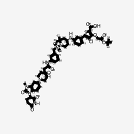 Cn1c(=O)n(C2CCC(=O)NC2=O)c2ccc(N3CCC(O)(CC(=O)Nc4cccc(CS(=O)(=O)N5CC[C@@H](Nc6cccc(-c7sc(C(=O)O)c(OCC(=O)OC(C)(C)C)c7Cl)c6)CC5(C)C)c4)CC3)cc21